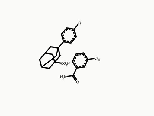 NC(=O)c1cccc(C(F)(F)F)c1.O=C(O)C12CC3CC(C1)CC(c1ccc(Cl)cc1)(C3)C2